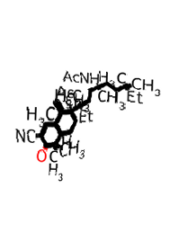 CCC(C)(C)CC[C@@](C)(CC[C@](C)(CC)[C@]1(C)CC[C@H]2C(C)(C)C(=O)C(C#N)=C[C@]2(C)/C1=C/C(C)=O)NC(C)=O